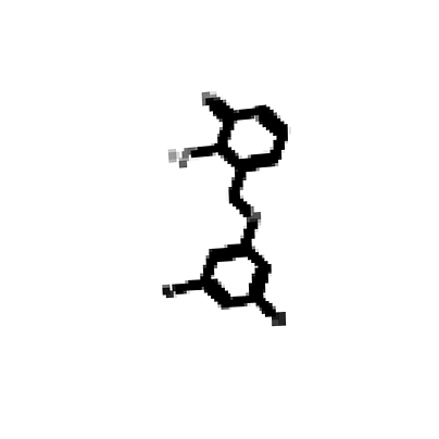 CC1C(=O)C=CC=C1COc1cc(Cl)cc(Cl)c1